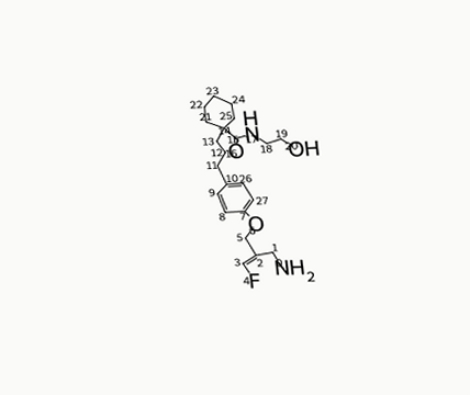 NC/C(=C\F)COc1ccc(CCCC2(C(=O)NCCO)CCCCC2)cc1